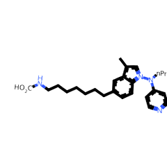 CCCN(c1ccncc1)n1cc(C)c2cc(CCCCCCCNC(=O)O)ccc21